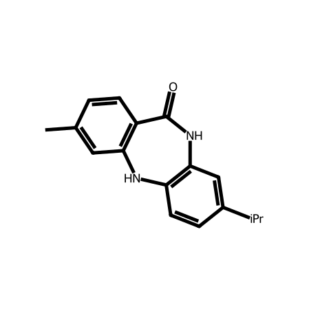 Cc1ccc2c(c1)Nc1ccc(C(C)C)cc1NC2=O